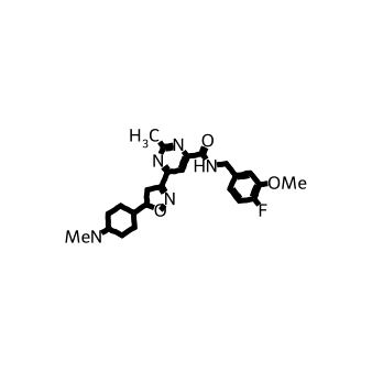 CNC1CCC(C2CC(c3cc(C(=O)NCc4ccc(F)c(OC)c4)nc(C)n3)=NO2)CC1